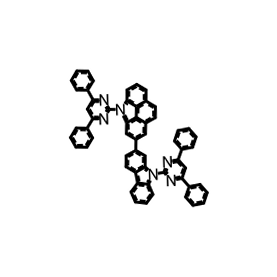 c1ccc(-c2cc(-c3ccccc3)nc(-n3c4ccccc4c4ccc(-c5cc6ccc7cccc8c7c6c(c5)n8-c5nc(-c6ccccc6)cc(-c6ccccc6)n5)cc43)n2)cc1